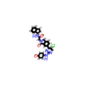 O=C1CCC(Nc2ncc(Cl)c(-c3ccc4c(c3)C(=O)N(CC(=O)NC3CCc5ccccc53)C4)n2)CC1